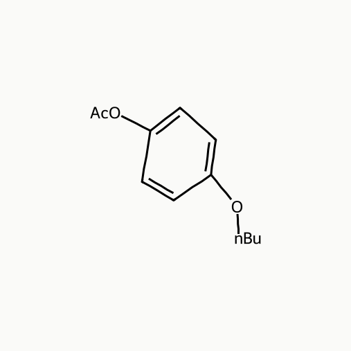 CCCCOc1ccc(OC(C)=O)cc1